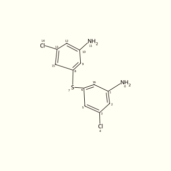 Nc1cc(Cl)cc(Sc2cc(N)cc(Cl)c2)c1